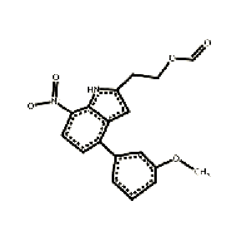 COc1cccc(-c2ccc([N+](=O)[O-])c3[nH]c(CCOC=O)cc23)c1